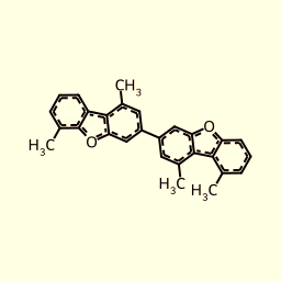 Cc1cccc2c1oc1cc(-c3cc(C)c4c(c3)oc3cccc(C)c34)cc(C)c12